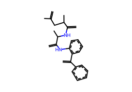 C=C(C)CC(C)C(=C)NC(C)C(=C)Nc1ccccc1C(=C)c1ccccc1